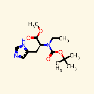 CCN(C(=O)OC(C)(C)C)[C@@H](Cc1cnc[nH]1)C(=O)OC